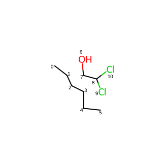 CCCCCC.OCC(Cl)Cl